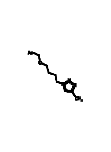 CC(=O)COCCCCn1cc(C)nn1